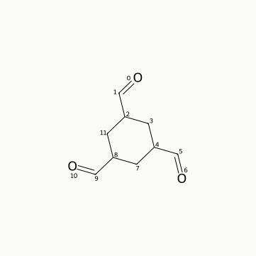 O=CC1CC(C=O)CC(C=O)C1